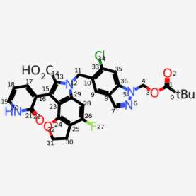 CC(C)(C)C(=O)OCn1ncc2cc(Cn3c(C(=O)O)c(-c4ccc[nH]c4=O)c4c5c(c(F)cc43)CCO5)c(Cl)cc21